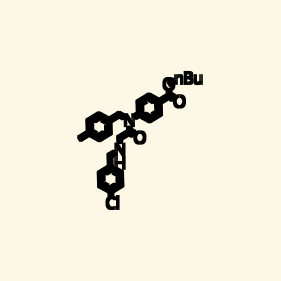 CCCCOC(=O)c1ccc(N(Cc2ccc(C)cc2)C(=O)CNCc2ccc(Cl)cc2)cc1